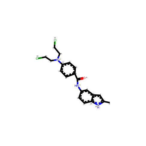 Cc1cc2cc(NC(=O)c3ccc(N(CCCl)CCCl)cc3)ccc2[nH]1